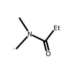 [CH2]N(C)C(=O)CC